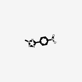 Cn1nnc(-c2ccc([N+](=O)[O-])cc2)n1